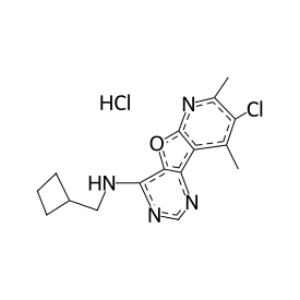 Cc1nc2oc3c(NCC4CCC4)ncnc3c2c(C)c1Cl.Cl